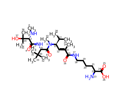 CN[C@H](C(=O)N[C@H](C(=O)N(C)[C@H](/C=C(\C)C(=O)NCCCCC(N)C(=O)O)C(C)C)C(C)(C)C)C(C)(C)O